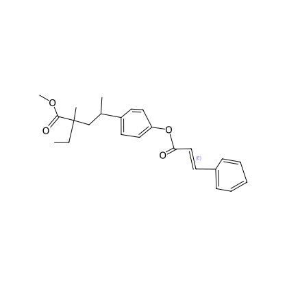 CCC(C)(CC(C)c1ccc(OC(=O)/C=C/c2ccccc2)cc1)C(=O)OC